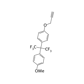 C#CCOc1ccc(C(c2ccc(OC)cc2)(C(F)(F)F)C(F)(F)F)cc1